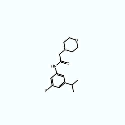 CC(C)c1cc(F)cc(NC(=O)CN2CCOCC2)c1